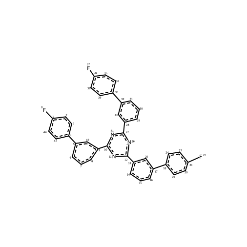 Fc1ccc(-c2cccc(-c3nc(-c4cccc(-c5ccc(F)cc5)c4)nc(-c4cccc(-c5ccc(F)cc5)c4)n3)c2)cc1